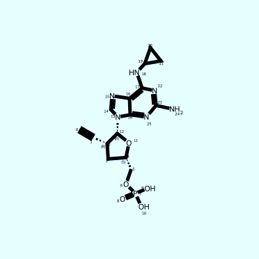 C#C[C@H]1C[C@@H](COP(=O)(O)O)O[C@H]1n1cnc2c(NC3CC3)nc(N)nc21